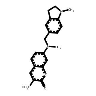 CN(Cc1ccc2c(c1)CCN2C)c1ccc2cc(C(=O)O)c(=O)oc2c1